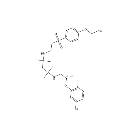 C[C@@H](CNC(C)(C)CC(C)(C)NCCS(=O)(=O)c1ccc(OCC(C)(C)C)cc1)Oc1cc(C(C)(C)C)ccn1